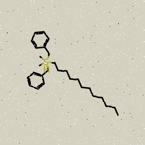 CCCCCCCCCCCC[SH](C)(C)(Cc1ccccc1)Cc1ccccc1